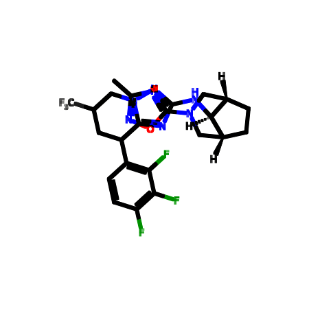 Cc1noc(N2C[C@H]3CC[C@@H](C2)[C@@H]3Nc2nc3n(n2)CC(C(F)(F)F)CC3c2ccc(F)c(F)c2F)n1